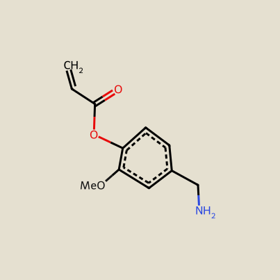 C=CC(=O)Oc1ccc(CN)cc1OC